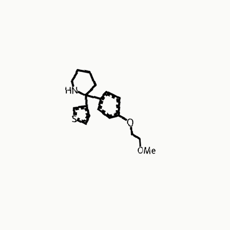 COCCOc1ccc(C2(c3ccsc3)CCCCN2)cc1